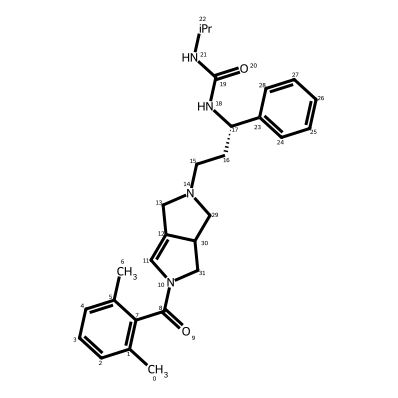 Cc1cccc(C)c1C(=O)N1C=C2CN(CC[C@H](NC(=O)NC(C)C)c3ccccc3)CC2C1